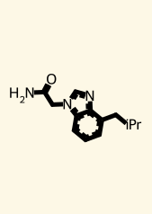 CC(C)Cc1cccc2c1ncn2CC(N)=O